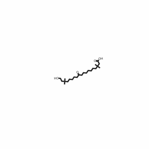 CC(C)(CCO)CCCCCC(=O)CCCCCCCC(C)(C)CC(=O)O